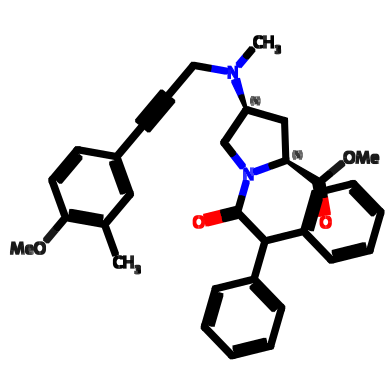 COC(=O)[C@@H]1C[C@H](N(C)CC#Cc2ccc(OC)c(C)c2)CN1C(=O)C(c1ccccc1)c1ccccc1